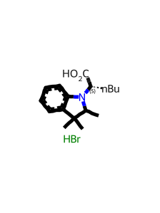 Br.CCCC[C@@H](C(=O)O)N1c2ccccc2C(C)(C)C1C